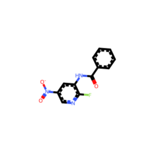 O=C(Nc1cc([N+](=O)[O-])cnc1F)c1ccccc1